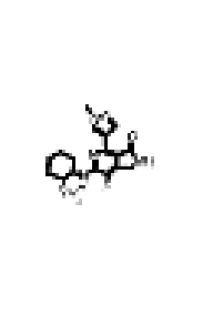 Cn1cc(-c2nc(NC3CCCC[C@@H]3N)c(F)c3c2C(=O)NC3)cn1